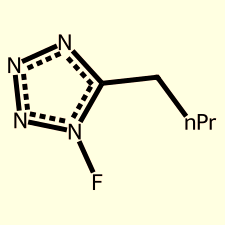 CCCCc1nnnn1F